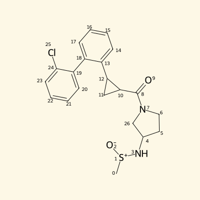 C[S+]([O-])NC1CCN(C(=O)C2CC2c2ccccc2-c2ccccc2Cl)C1